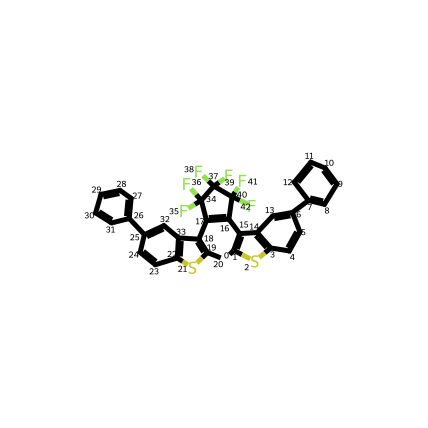 Cc1sc2ccc(-c3ccccc3)cc2c1C1=C(c2c(C)sc3ccc(-c4ccccc4)cc23)C(F)(F)C(F)(F)C1(F)F